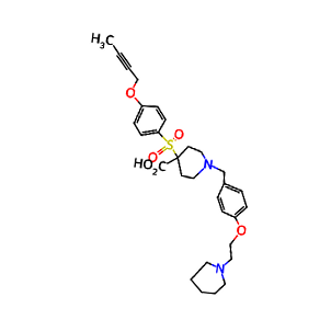 CC#CCOc1ccc(S(=O)(=O)C2(C(=O)O)CCN(Cc3ccc(OCCN4CCCCC4)cc3)CC2)cc1